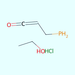 CCO.Cl.O=C=CCP